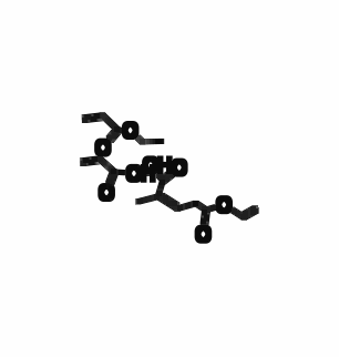 C=CC(=O)O.C=CC(=O)OCC.C=COC(=O)CC=C(C)C(=O)O